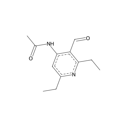 CCc1cc(NC(C)=O)c(C=O)c(CC)n1